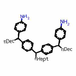 CCCCCCCCCCC(c1ccc(N)cc1)c1ccc(C(CCCCCCC)c2ccc(C(CCCCCCCCCC)c3ccc(N)cc3)cc2)cc1